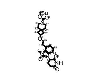 Cn1c(=O)n(C2CCC(=O)NC2=O)c2cccc(CCOC3CC4(CCN(C(=O)OC(C)(C)C)CC4)C3)c21